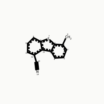 Cc1cccc2c1sc1cccc(C#N)c12